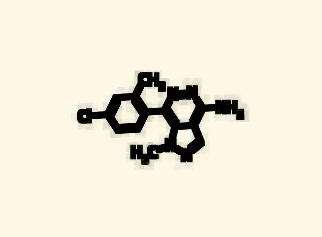 Cc1cc(Cl)ccc1-c1nnc(N)c2cnn(C)c12